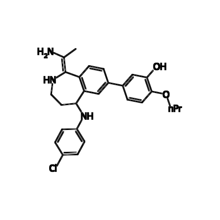 CCCOc1ccc(-c2ccc3c(c2)C(Nc2ccc(Cl)cc2)CCN/C3=C(/C)N)cc1O